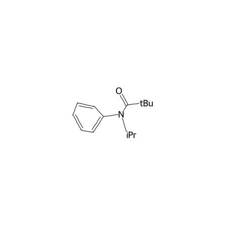 CC(C)N(C(=O)C(C)(C)C)c1ccccc1